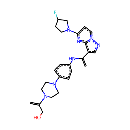 C=C(Nc1ccc(N2CCN(C(=C)CO)CC2)cc1)c1cnn2ccc(N3CCC(F)C3)nc12